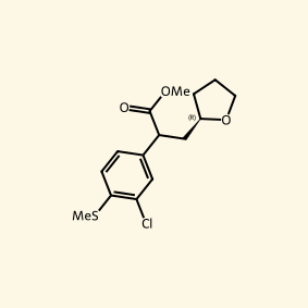 COC(=O)C(C[C@H]1CCCO1)c1ccc(SC)c(Cl)c1